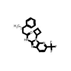 C[C@@H](CC(=O)Nc1nc2ccc(C(F)(F)F)nc2n1C1CCC1)c1ccccc1